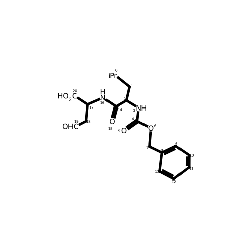 CC(C)CC(NC(=O)OCc1ccccc1)C(=O)NC(CC=O)C(=O)O